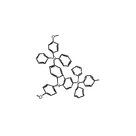 COc1ccc(-n2c3ccc([Si](c4ccccc4)(c4ccccc4)c4ccc(C)cc4)cc3c3cc([Si](c4ccccc4)(c4ccccc4)c4ccc(OC)cc4)ccc32)cc1